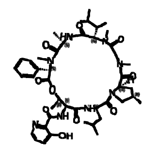 CC(C)C[C@H]1NC(=O)[C@@H](NC(=O)c2ncccc2O)[C@@H](C)OC(=O)[C@H](c2ccccc2)N(C)C(=O)[C@H](C)NC(=O)[C@H](C(C)C(C)C)N(C)C(=O)CN(C)C(=O)[C@H]2C[C@@H](C)CN2C1=O